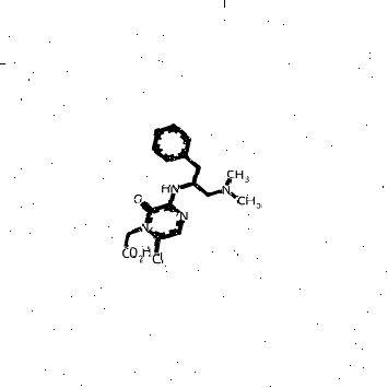 CN(C)CC(Cc1ccccc1)Nc1ncc(Cl)n(CC(=O)O)c1=O